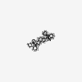 O=c1c2ccccc2c2ccccc2n1-c1ccc2c(ccc3cc(-c4nc5ccccc5n4-c4ccccc4)ccc32)c1